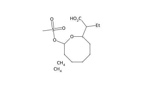 C.C.CCC([C]1CCCCCC(OS(C)(=O)=O)O1)C(=O)O